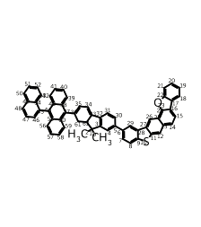 CC1(C)c2cc(-c3ccc4sc5cc6ccc7c8ccccc8oc7c6cc5c4c3)ccc2C2=CC=C(c3c4ccccc4c(-c4cccc5ccccc45)c4ccccc34)CC21